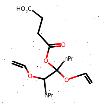 C=COC(CCC)C(CCC)(OC=C)OC(=O)CCC(=O)O